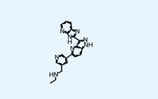 CCNCc1cncc(-c2ccc3[nH]nc(-c4nc5cccnc5[nH]4)c3n2)c1